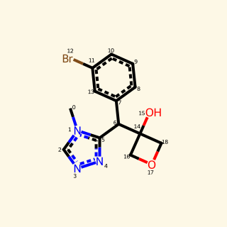 Cn1cnnc1C(c1cccc(Br)c1)C1(O)COC1